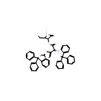 O=C(NC1C(=O)NC1CCl)/C(=N/OC(c1ccccc1)(c1ccccc1)c1ccccc1)c1csc(NC(c2ccccc2)(c2ccccc2)c2ccccc2)n1